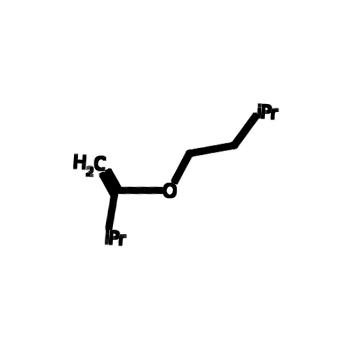 C=C(OCCC(C)C)C(C)C